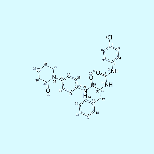 O=C(Nc1ccc(Cl)cc1)N[C@H](Cc1ccccc1)C(=O)Nc1ccc(N2CCOCC2=O)cc1